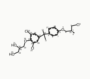 C[C@H](CCl)COc1ccc(C(C)(C)c2cc(Cl)c(OC[C@H](O)CO)c(Cl)c2)cc1